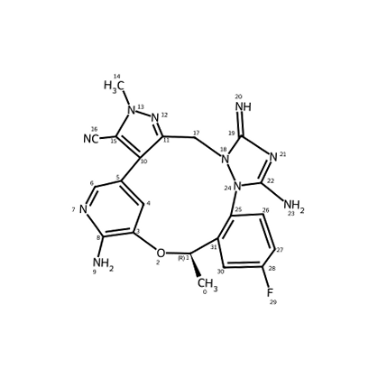 C[C@H]1Oc2cc(cnc2N)-c2c(nn(C)c2C#N)Cn2c(=N)nc(N)n2-c2ccc(F)cc21